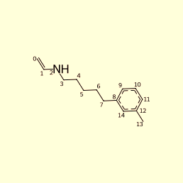 C=CNCCCCCc1cccc(C)c1